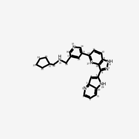 c1cnc2cc(-c3n[nH]c4ccc(-c5cncc(CNCC6CCCC6)c5)nc34)[nH]c2c1